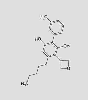 CCCCCc1cc(O)c(-c2cccc(C)c2)c(O)c1C1COC1